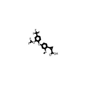 CSc1cc(Oc2ccc(C(F)(F)F)cc2OC(F)F)ccc1C1CC1C(=O)O